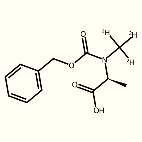 [2H]C([2H])([2H])N(C(=O)OCc1ccccc1)[C@@H](C)C(=O)O